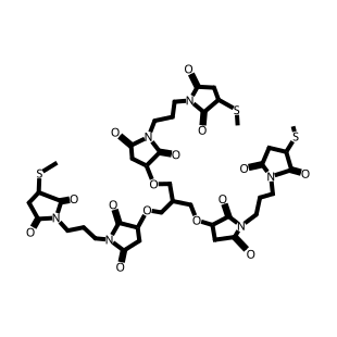 CSC1CC(=O)N(CCCN2C(=O)CC(OCC(COC3CC(=O)N(CCCN4C(=O)CC(SC)C4=O)C3=O)COC3CC(=O)N(CCCN4C(=O)CC(SC)C4=O)C3=O)C2=O)C1=O